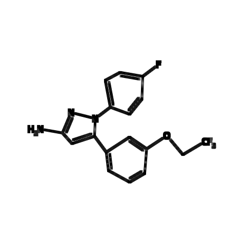 Nc1cc(-c2cccc(OCC(F)(F)F)c2)n(-c2ccc(F)cc2)n1